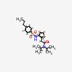 CCCc1ccc(S(=O)(=O)Nc2ccsc2CC(=O)N(C(C)C)C(C)C)cc1